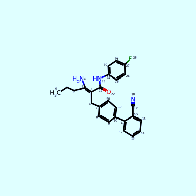 CCC/C(N)=C(\Cc1ccc(-c2ccccc2C#N)cc1)C(=O)Nc1ccc(F)cc1